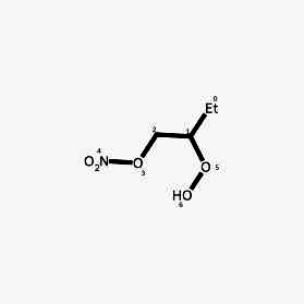 CCC(CO[N+](=O)[O-])OO